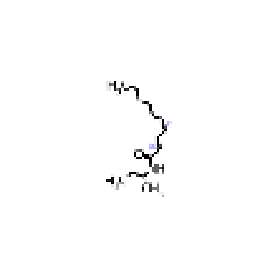 CCCCC/C=C\C=C\C(=O)NC(C)CC